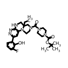 CCC12CNc3nnc(-c4cccc(F)c4O)cc3N1CCN(C(=O)N1CCN(C(=O)OC(C)(C)C)CC1)C2